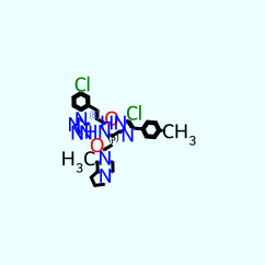 Cc1ccc(-c2nc([C@H](CC(=O)N3CCN4CCCC4C3C)NC(=O)/C=C/c3cc(Cl)ccc3-n3cnnn3)[nH]c2Cl)cc1